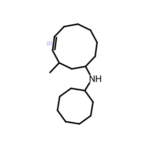 CC1/C=C\CCCCCC(NC2CCCCCCC2)C1